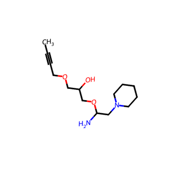 CC#CCOCC(O)COC(N)CN1CCCCC1